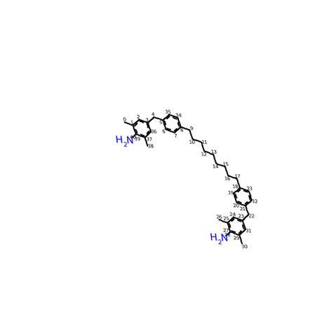 Cc1cc(Cc2ccc(CCCCCCCCCc3ccc(Cc4cc(C)c(N)c(C)c4)cc3)cc2)cc(C)c1N